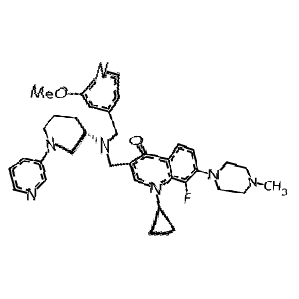 COc1cc(CN(Cc2cn(C3CC3)c3c(F)c(N4CCN(C)CC4)ccc3c2=O)[C@H]2CCCN(c3cccnc3)C2)ccn1